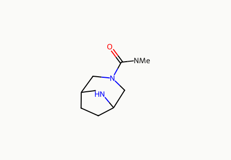 CNC(=O)N1CC2CCC(C1)NC2